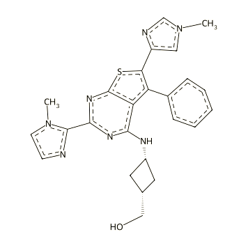 Cn1cnc(-c2sc3nc(-c4nccn4C)nc(N[C@H]4C[C@@H](CO)C4)c3c2-c2ccccc2)c1